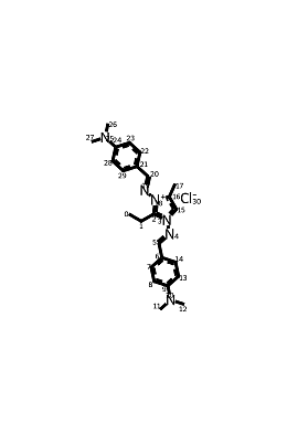 CCc1n(N=Cc2ccc(N(C)C)cc2)cc(C)[n+]1N=Cc1ccc(N(C)C)cc1.[Cl-]